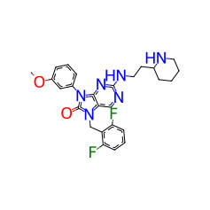 COc1cccc(-n2c(=O)n(Cc3c(F)cccc3F)c3cnc(NCCC4CCCCN4)nc32)c1